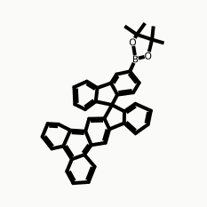 CC1(C)OB(c2ccc3c(c2)-c2ccccc2C32c3ccccc3-c3cc4c5ccccc5c5ccccc5c4cc32)OC1(C)C